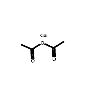 CC(=O)OC(C)=O.[Ga]